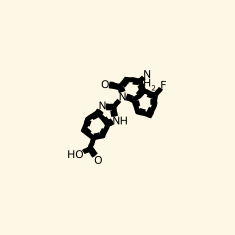 Nc1cc(=O)n(-c2nc3ccc(C(=O)O)cc3[nH]2)c2cccc(F)c12